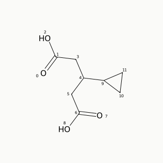 O=C(O)CC(CC(=O)O)C1CC1